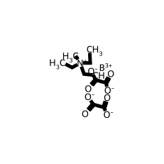 CC[N+](C)(CC)CC.O=C([O-])C(=O)[O-].O=C([O-])C(=O)[O-].[B+3]